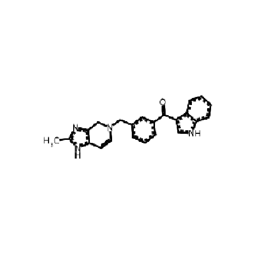 Cc1nc2c([nH]1)C=CN(Cc1cccc(C(=O)c3c[nH]c4ccccc34)c1)C2